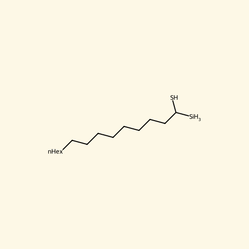 CCCCCCCCCCCCCCC([SiH3])S